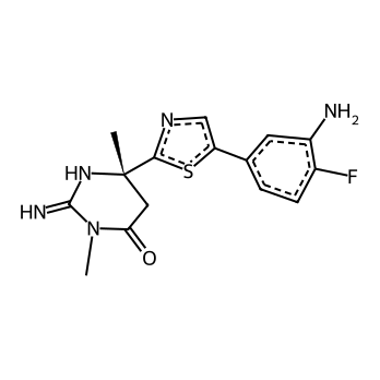 CN1C(=N)N[C@](C)(c2ncc(-c3ccc(F)c(N)c3)s2)CC1=O